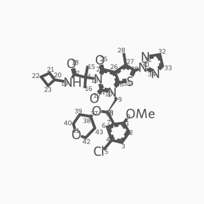 COc1ccc(Cl)cc1[C@H](Cn1c(=O)n(C(C)(C)C(=O)NC2CCC2)c(=O)c2c(C)c(-n3nccn3)sc21)OC1CCOCC1